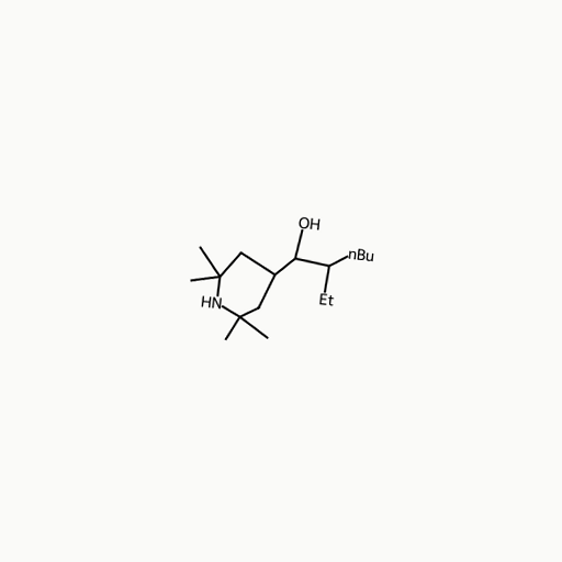 CCCCC(CC)C(O)C1CC(C)(C)NC(C)(C)C1